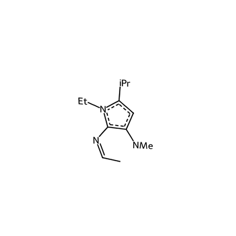 C/C=N\c1c(NC)cc(C(C)C)n1CC